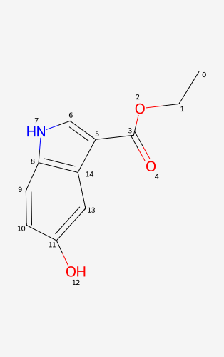 CCOC(=O)c1c[nH]c2ccc(O)cc12